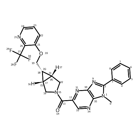 Cn1c(-c2ccccc2)nc2nc(C(=O)N3C[C@@H]4[C@H](COc5cccnc5C(F)(F)F)[C@@H]4C3)cnc21